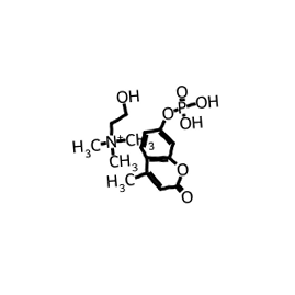 C[N+](C)(C)CCO.Cc1cc(=O)oc2cc(OP(=O)(O)O)ccc12